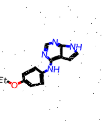 CCOc1ccc(Nc2ncnc3[nH]ccc23)cc1